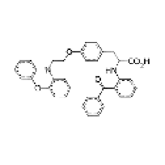 O=C(c1ccccc1)c1ccccc1NC(Cc1ccc(OCCN2c3ccccc3Oc3ccccc32)cc1)C(=O)O